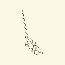 CCCCCCCCCCCO[C@H]1CC[C@@]2(C)[C@@H](CC[C@@H]3[C@@H]2CC[C@]2(C)C(=O)CC[C@@H]32)C1